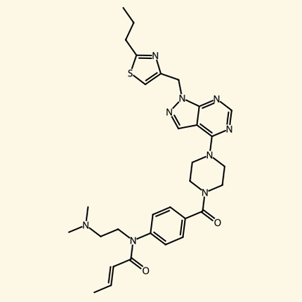 C/C=C/C(=O)N(CCN(C)C)c1ccc(C(=O)N2CCN(c3ncnc4c3cnn4Cc3csc(CCC)n3)CC2)cc1